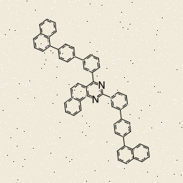 c1cc(-c2ccc(-c3cccc4ccccc34)cc2)cc(-c2nc(-c3cccc(-c4ccc(-c5cccc6ccccc56)cc4)c3)c3ccc4ccccc4c3n2)c1